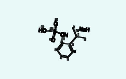 CC(C)c1ccccc1.O=S(=O)(O)O.[NaH]